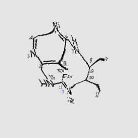 Cc1c2ncnc1N[C@@H](C)C(C)/N=C(\F)N2